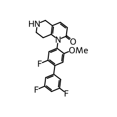 COc1cc(-c2cc(F)cc(F)c2)c(F)cc1-n1c2c(ccc1=O)CNCC2